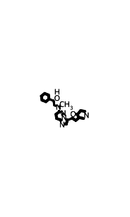 CN(CC(O)c1ccccc1)c1ccc2ncc(-c3cc4cnccc4o3)n2n1